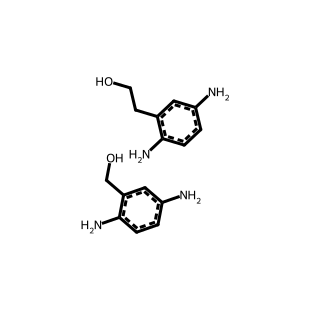 Nc1ccc(N)c(CCO)c1.Nc1ccc(N)c(CO)c1